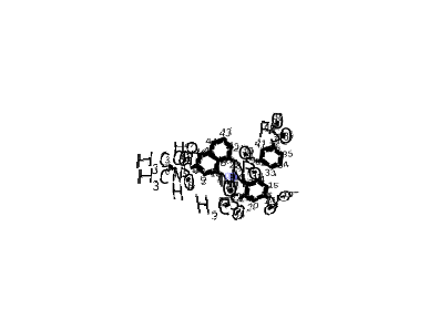 CC(C)(C)NS(=O)(=O)c1cc(/N=N/c2ccc([N+](=O)[O-])cc2S(C)(=O)=O)c2c(NS(=O)(=O)c3cccc(S(=O)(=O)F)c3)cccc2c1O